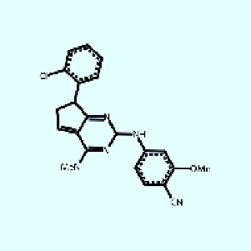 CNC1=NC(Nc2ccc(C#N)c(OC)c2)N=C2C1=CCC2c1ccccc1Cl